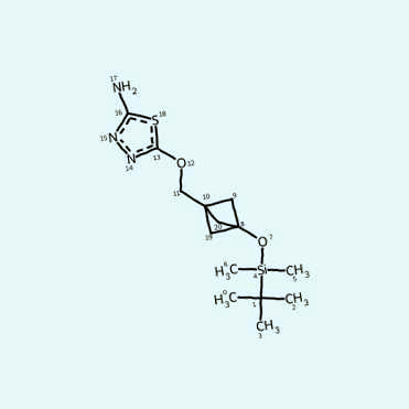 CC(C)(C)[Si](C)(C)OC12CC(COc3nnc(N)s3)(C1)C2